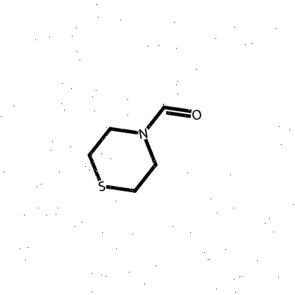 O=[C]N1CCSCC1